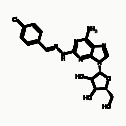 Nc1nc(NN=Cc2ccc(Cl)cc2)nc2c1ncn2[C@@H]1O[C@H](CO)C(O)C1O